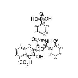 O=C(O)c1cccc2c1OB(O)[C@@H](NC(=O)[C@H](NC(=O)N1CCCCC1=O)c1ccc(P(=O)(O)O)cc1)C2